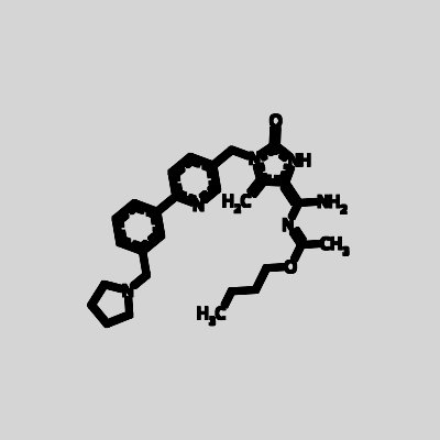 C=c1/c(=C(N)\N=C(/C)OCCCC)[nH]c(=O)n1Cc1ccc(-c2cccc(CN3CCCC3)c2)nc1